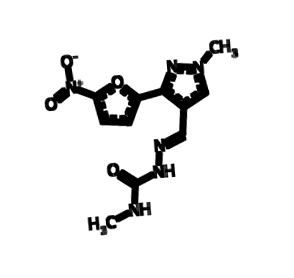 CNC(=O)N/N=C/c1cn(C)nc1-c1ccc([N+](=O)[O-])o1